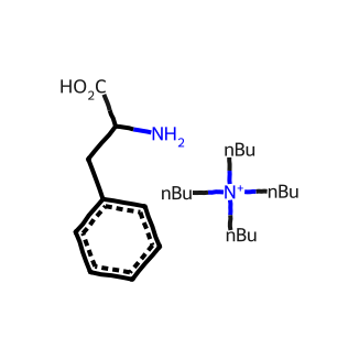 CCCC[N+](CCCC)(CCCC)CCCC.NC(Cc1ccccc1)C(=O)O